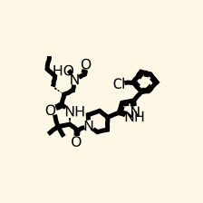 CCCC[C@H](CN(O)C=O)C(=O)N[C@H](C(=O)N1CCC(c2cc(-c3ccccc3Cl)n[nH]2)CC1)C(C)(C)C